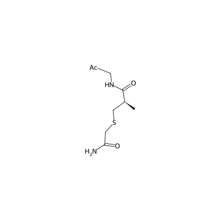 CC(=O)CNC(=O)[C@@H](C)CSCC(N)=O